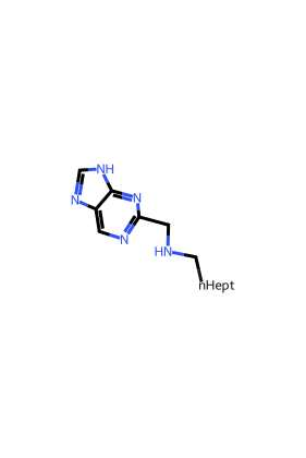 CCCCCCCCNCc1ncc2nc[nH]c2n1